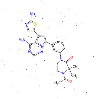 CC(=O)N1CCN(c2cccc(-c3cc(-c4cnc(N)s4)c4c(N)ncnn34)c2)C(=O)C1(C)C